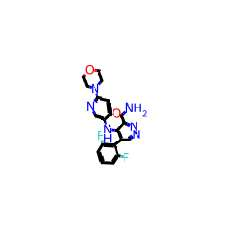 NC(=O)c1nncc(-c2c(F)cccc2F)c1Nc1ccc(N2CCOCC2)nc1